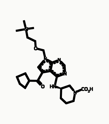 C[Si](C)(C)CCOCn1cc(C(=O)C2CCCC2)c2c(N[C@@H]3CCCN(C(=O)O)C3)ncnc21